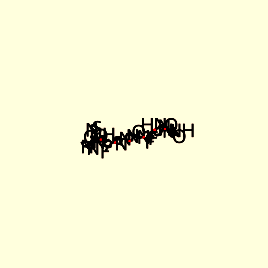 O=C1CCN(c2n[nH]c3cc(C4CCN(CC(=O)N5CCN(c6ccc(-c7cc(F)c8c(c7)C(=O)N(C(C(=O)Nc7nccs7)c7ncn9c7CCC9)C8)cn6)CC5)CC4(F)F)ccc23)C(=O)N1